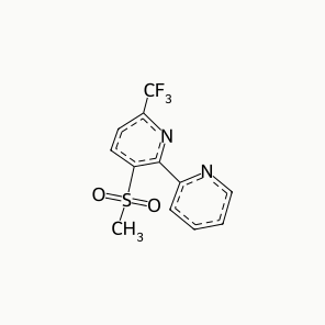 CS(=O)(=O)c1ccc(C(F)(F)F)nc1-c1ccccn1